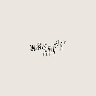 Cl.N#CC1(c2ccc(-c3c(F)cc(N4C[C@H](Cn5ccnn5)OC4=O)cc3F)cn2)C2CN(C(=O)[C@@H]3C[C@H](F)CN3)CC21